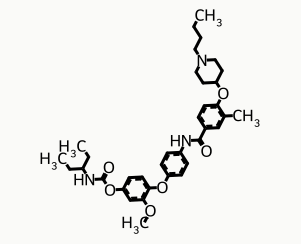 CCCCN1CCC(Oc2ccc(C(=O)Nc3ccc(Oc4ccc(OC(=O)NC(CC)CC)cc4OC)cc3)cc2C)CC1